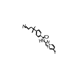 CC(C)(CCC#N)c1ccc(C(=O)Nc2cn3cc(I)ccc3n2)cc1